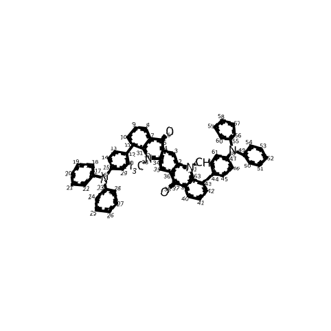 Cn1c2cc3c(=O)c4cccc(-c5ccc(N(c6ccccc6)c6ccccc6)cc5)c4n(C)c3cc2c(=O)c2cccc(-c3ccc(N(c4ccccc4)c4ccccc4)cc3)c21